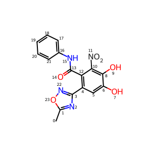 Cc1nc(-c2cc(O)c(O)c([N+](=O)[O-])c2C(=O)Nc2ccccc2)no1